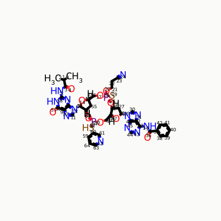 CC(C)C(=O)Nc1nc2c(ncn2[C@@H]2O[C@@H]3COP(=S)(OCCC#N)O[C@H]4C[C@H](n5cnc6c(NC(=O)c7ccccc7)ncnc65)O[C@@H]4COP(S)O[C@@H]2C3)c(=O)[nH]1.c1ccncc1